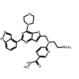 CC(=O)NCCN(Cc1cc2nc(-c3cccc4[nH]ncc34)nc(N3CCOCC3)c2s1)c1ccc(C(=O)NO)cn1